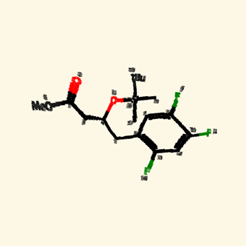 COC(=O)C[C@H](Cc1cc(F)c(F)cc1F)O[Si](C)(C)C(C)(C)C